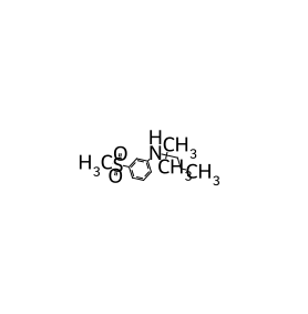 CCCC(C)(C)Nc1cccc(S(C)(=O)=O)c1